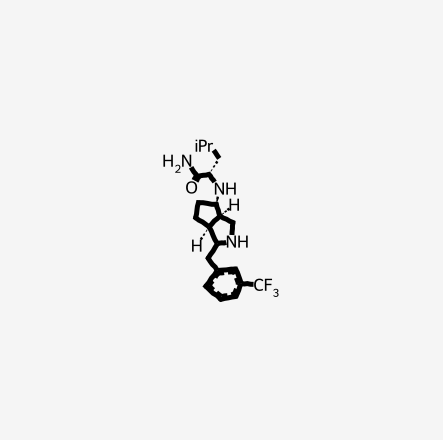 CC(C)C[C@H](N[C@H]1CC[C@@H]2C(Cc3cccc(C(F)(F)F)c3)NC[C@H]12)C(N)=O